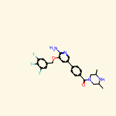 CC1CN(C(=O)c2ccc(-c3cnc(N)c(OCc4cc(F)c(F)c(F)c4)c3)cc2)CC(C)N1